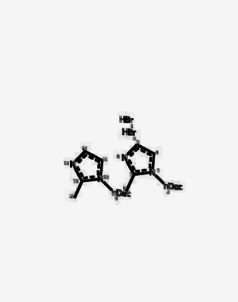 Br.Br.CCCCCCCCCCn1ccnc1C.CCCCCCCCCCn1ccnc1C